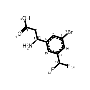 N[C@@H](CC(=O)O)c1cc(Br)cc(C(F)F)c1